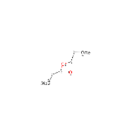 COCCOCCOC.[O]